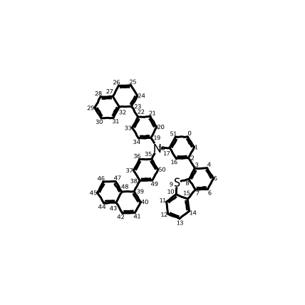 c1cc(-c2cccc3c2sc2ccccc23)cc(N(c2ccc(-c3cccc4ccccc34)cc2)c2ccc(-c3cccc4ccccc34)cc2)c1